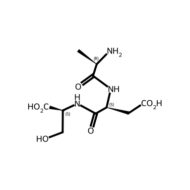 C[C@@H](N)C(=O)N[C@@H](CC(=O)O)C(=O)N[C@@H](CO)C(=O)O